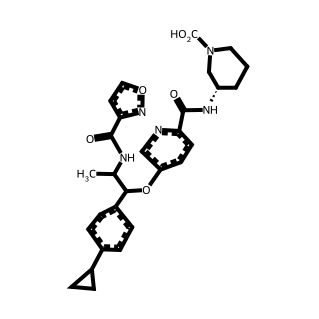 CC(NC(=O)c1ccon1)C(Oc1ccc(C(=O)N[C@H]2CCCN(C(=O)O)C2)nc1)c1ccc(C2CC2)cc1